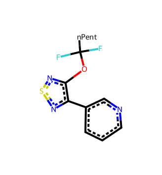 CCCCCC(F)(F)Oc1nsnc1-c1cccnc1